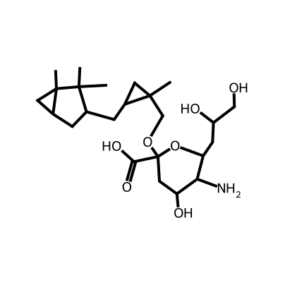 CC1(COC2(C(=O)O)CC(O)C(N)C(CC(O)CO)O2)CC1CC1CC2CC2(C)C1(C)C